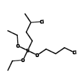 CCO[Si](CCC(C)Cl)(OCC)OCCCCl